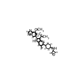 COc1cc(-c2[nH]c3cc(F)c(C4CCC(NC5COC5)CC4)nc3c2C(C)C)cn2ncnc12